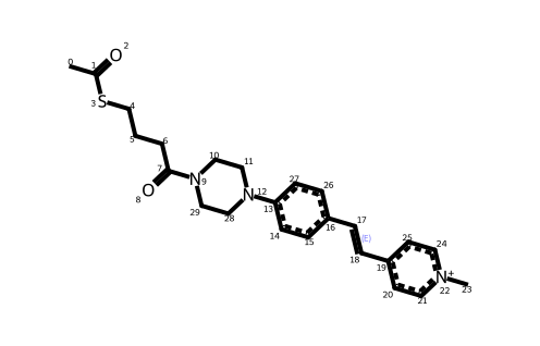 CC(=O)SCCCC(=O)N1CCN(c2ccc(/C=C/c3cc[n+](C)cc3)cc2)CC1